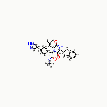 CC(C)CC1C(=O)NC(C2Cc3ccccc3C2)C(=O)N1C(C(=O)NC(C)(C)C)c1ccc(-c2cn[nH]c2)cc1